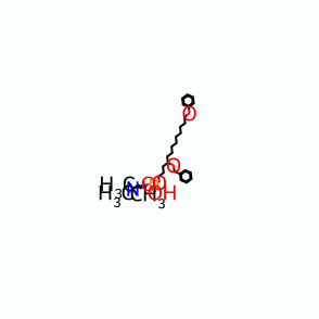 C[N+](C)(C)CCOP(O)OCCCC(CCCCCCCCCOc1ccccc1)OCc1ccccc1